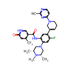 C[C@@H]1CN(c2cc(F)c(C3=CCCN(c4ccnc(C#N)n4)C3)cc2NC(=O)c2c[nH]c(=O)cc2C(F)(F)F)C[C@H](C)N1C